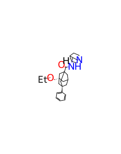 CCOC[C@@]12CC3CC(C(=O)N[C@@H]4CN5CCC4CC5)(C1)C[C@](c1ccccc1)(C3)C2